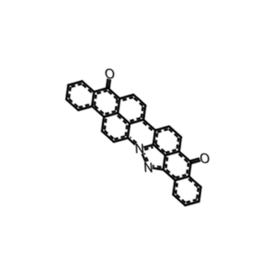 O=c1c2ccccc2c2ccc3c4c(ccc1c24)c1ccc2c(=O)c4ccccc4c4nn3c1c24